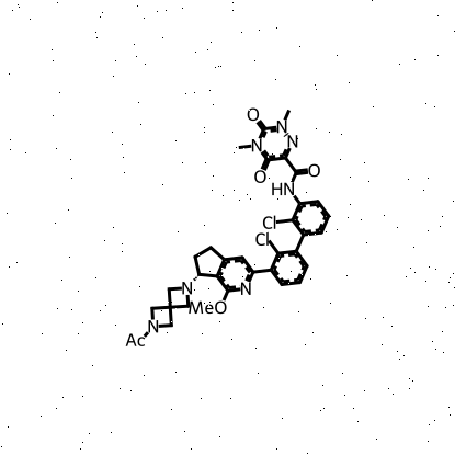 COc1nc(-c2cccc(-c3cccc(NC(=O)c4nn(C)c(=O)n(C)c4=O)c3Cl)c2Cl)cc2c1[C@H](N1CC3(CN(C(C)=O)C3)C1)CC2